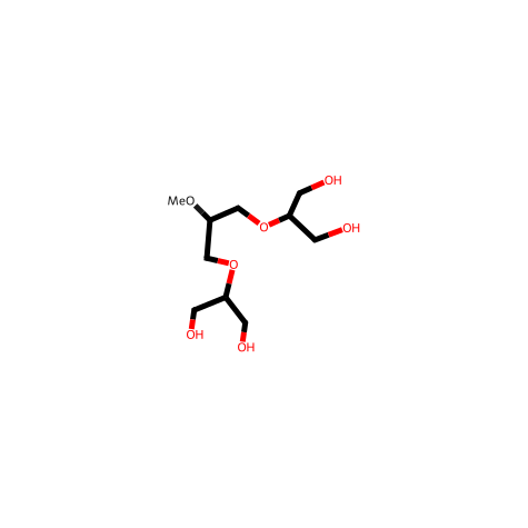 COC(COC(CO)CO)COC(CO)CO